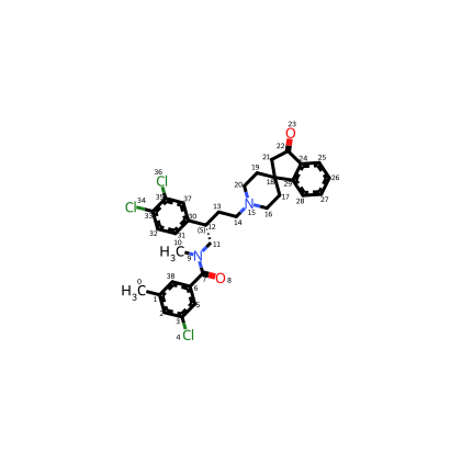 Cc1cc(Cl)cc(C(=O)N(C)C[C@@H](CCN2CCC3(CC2)CC(=O)c2ccccc23)c2ccc(Cl)c(Cl)c2)c1